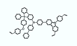 C=Cc1ccc(Oc2ccc(C3(c4ccccc4)c4ccccc4-c4ccc(N(c5ccc(-c6ccccc6)cc5)c5ccc(-c6ccc7c(c6)c6cc(C=C)ccc6n7-c6ccc(C=C)cc6)cc5)cc43)cc2)cc1